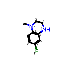 CN1CCNc2cc(F)ccc21